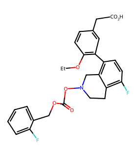 CCOc1ccc(CC(=O)O)cc1-c1ccc(F)c2c1CN(OC(=O)OCc1ccccc1F)CC2